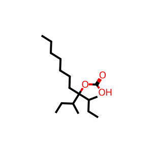 CCCCCCCC(OC(=O)O)(C(C)CC)C(C)CC